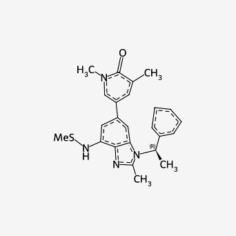 CSNc1cc(-c2cc(C)c(=O)n(C)c2)cc2c1nc(C)n2[C@H](C)c1ccccc1